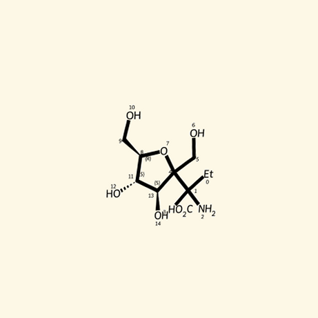 CCC(N)(C(=O)O)C1(CO)O[C@H](CO)[C@@H](O)[C@@H]1O